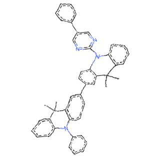 CC1(C)c2ccccc2N(c2ccccc2)c2ccc(-c3ccc4c(c3)C(C)(C)c3ccccc3N4c3ncc(-c4ccccc4)cn3)cc21